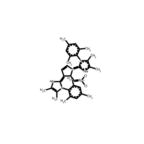 CC1=C(C)N(c2c(C)cc(C)cc2C)C(=C2C=CS(=c3[nH]c(C)c(C)n3-c3c(C)cc(C)cc3C)C2[CH]=[Ru-2]([Cl])[Cl])N1